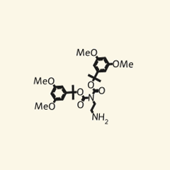 COc1cc(OC)cc(C(C)(C)OC(=O)N(CCN)C(=O)OC(C)(C)c2cc(OC)cc(OC)c2)c1